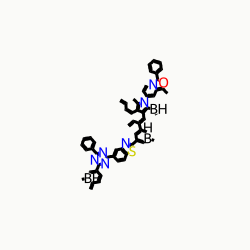 C=C/C=C\C(=C/BC)c1nc(-c2ccccc2)nc(-c2ccc3sc(C(/C=C(C)/C(C=C)=C/c4c(/C=C\C=C)c(C)n(/C(C=C)=C/c5nc(-c6ccccc6)oc5C)c4BC)=C/BC)nc3c2)n1